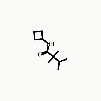 CC(C)C(C)(C)C(=O)NC1CCC1